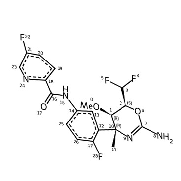 CO[C@H]1[C@@H](C(F)F)OC(N)=N[C@]1(C)c1cc(NC(=O)c2ccc(F)cn2)ccc1F